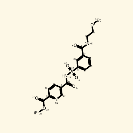 CCOCCNC(=O)c1cccc(S(=O)(=O)NC(=O)c2ccc(C(=O)OC(C)C)nc2)c1